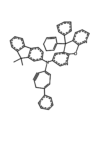 CC1(C)c2ccccc2-c2ccc(N(C3=CC=C(c4ccccc4)CC#C3)c3cnc4c(c3)C(C3=CCCC=C3)(c3ccccc3)c3cccnc3O4)cc21